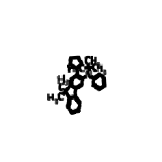 CC1(C)c2ccccc2-c2cc(N(c3ccccc3)C(C)(C)C)c(C3CCCC3)cc21